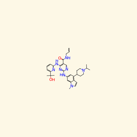 C=CCNC(=O)c1cnc(Nc2cc(C3CCN(C(C)C)CC3)c3ccn(C)c3c2)nc1Nc1cccc(C(C)(C)O)n1